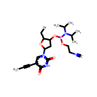 [2H]CC1OC(n2cc(C#CC)c(=O)[nH]c2=O)CC1OP(OCC[N+]#[C-])N(C(C)C)C(C)C